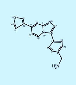 NCc1ccc(-c2cnc3cc(-c4ccsc4)ccn23)cc1